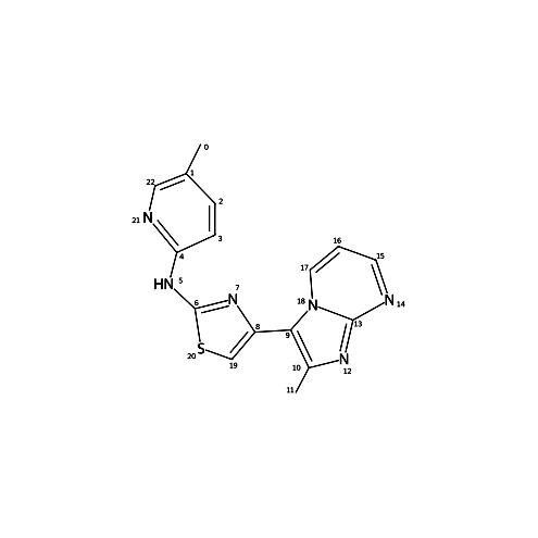 Cc1ccc(Nc2nc(-c3c(C)nc4ncccn34)cs2)nc1